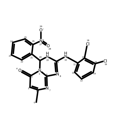 Cc1cc(=O)n2c(n1)N=C(Nc1cccc(Cl)c1Cl)NC2c1ccccc1[N+](=O)[O-]